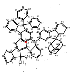 CC1(C)c2ccccc2-c2cccc(-c3ccccc3N(c3ccc4c(c3)C(c3ccccc3)(c3ccccc3)c3ccccc3-4)c3ccc4c(c3)C3(c5ccccc5-4)C4CC5CC(C4)CC3C5)c21